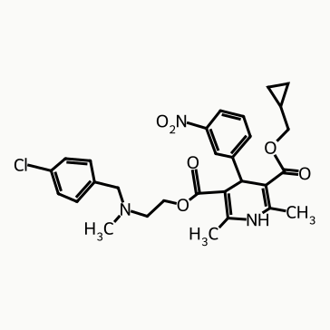 CC1=C(C(=O)OCCN(C)Cc2ccc(Cl)cc2)C(c2cccc([N+](=O)[O-])c2)C(C(=O)OCC2CC2)=C(C)N1